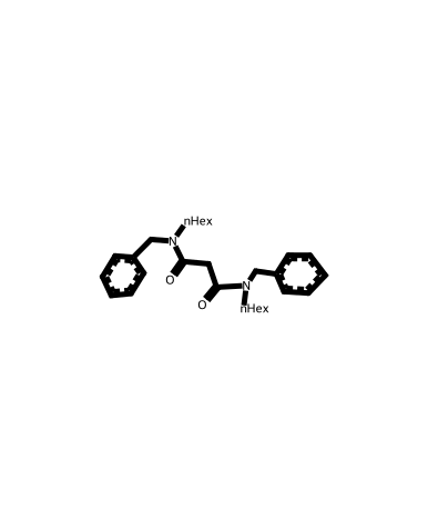 CCCCCCN(Cc1ccccc1)C(=O)CC(=O)N(CCCCCC)Cc1ccccc1